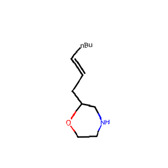 CCCCC=CCC1CNCCO1